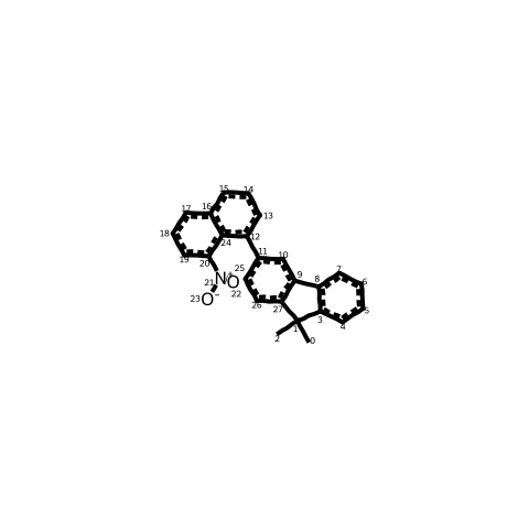 CC1(C)c2ccccc2-c2cc(-c3cccc4cccc([N+](=O)[O-])c34)ccc21